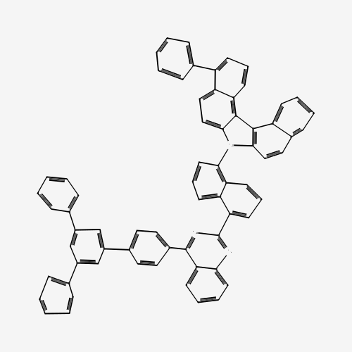 c1ccc(-c2cc(-c3ccccc3)cc(-c3ccc(-c4nc(-c5cccc6c(-n7c8ccc9ccccc9c8c8c9cccc(-c%10ccccc%10)c9ccc87)cccc56)nc5ccccc45)cc3)c2)cc1